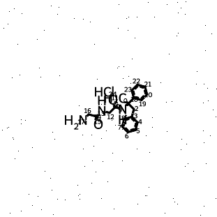 CC(Cc1ccccc1)(NC(=O)CNC(=O)CN)c1ccccc1.Cl